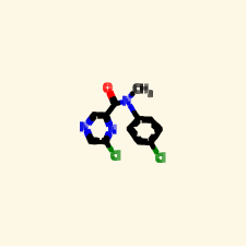 CN(C(=O)c1cncc(Cl)n1)c1ccc(Cl)cc1